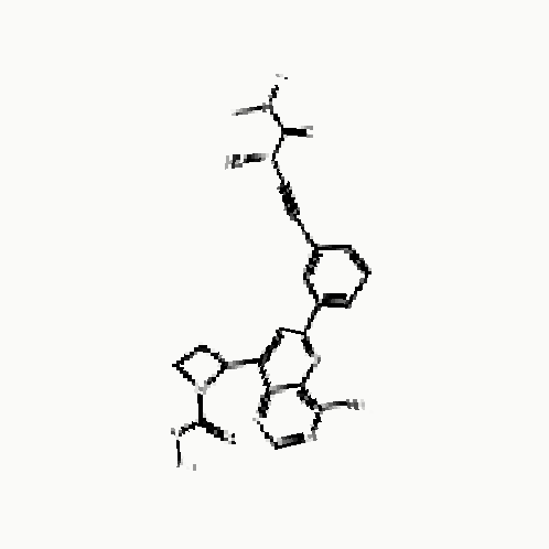 CCN(C)C(=O)[C@H](O)C#Cc1cccc(-c2cc(C3CCN3C(=O)OC(C)(C)C)c3ncnc(N)c3n2)c1